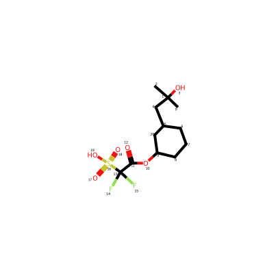 CC(C)(O)CC1CCCC(OC(=O)C(F)(F)S(=O)(=O)O)C1